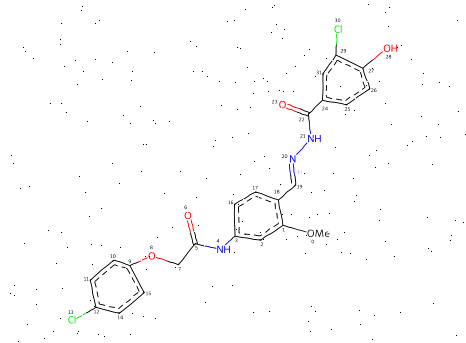 COc1cc(NC(=O)COc2ccc(Cl)cc2)ccc1/C=N/NC(=O)c1ccc(O)c(Cl)c1